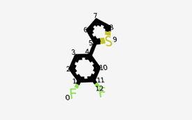 Fc1ccc(-c2cc[c]s2)cc1F